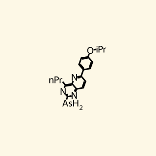 CCCc1nc([AsH2])nc2ccc(-c3ccc(OC(C)C)cc3)nc12